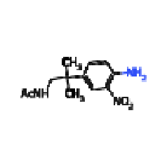 CC(=O)NCC(C)(C)c1ccc(N)c([N+](=O)[O-])c1